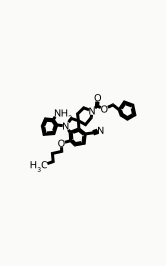 CCCCOc1ccc(C#N)c2c1N(c1ccccc1N)CC21CCN(C(=O)OCc2ccccc2)CC1